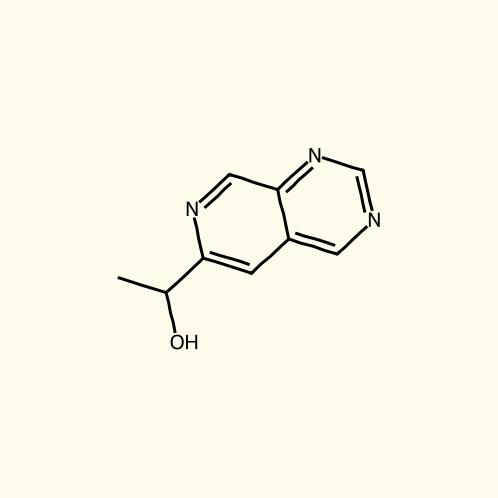 CC(O)c1cc2cncnc2cn1